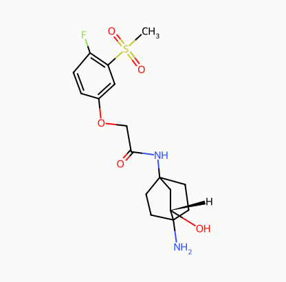 CS(=O)(=O)c1cc(OCC(=O)NC23CCC(N)(CC2)[C@@H](O)C3)ccc1F